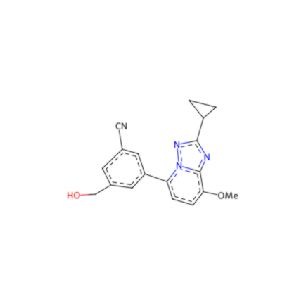 COc1ccc(-c2cc(C#N)cc(CO)c2)n2nc(C3CC3)nc12